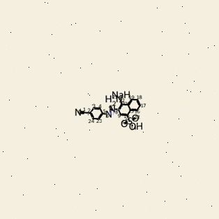 N#Cc1ccc(/N=N/c2cc(S(=O)(=O)O)c3ccccc3c2N)cc1.[NaH]